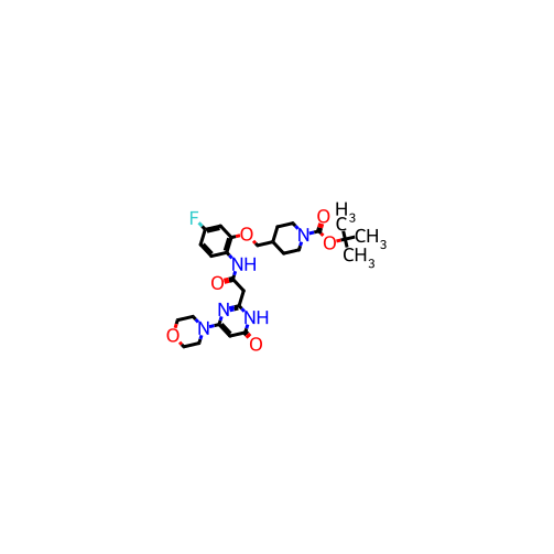 CC(C)(C)OC(=O)N1CCC(COc2cc(F)ccc2NC(=O)Cc2nc(N3CCOCC3)cc(=O)[nH]2)CC1